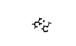 COc1ccnc(C(C)C)c1-n1c(=O)[nH]c(=O)c2cc(F)c(Cl)nc21